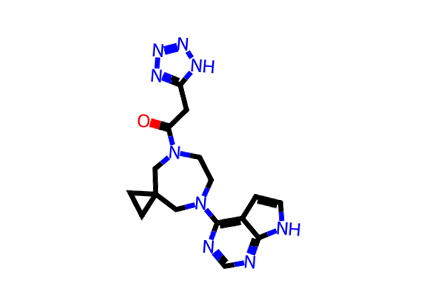 O=C(Cc1nnn[nH]1)N1CCN(c2ncnc3[nH]ccc23)CC2(CC2)C1